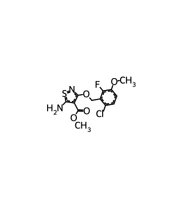 COC(=O)c1c(OCc2c(Cl)ccc(OC)c2F)nsc1N